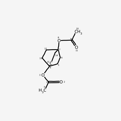 CC(=O)OC12CCC(OC(C)=O)(CC1)CC2